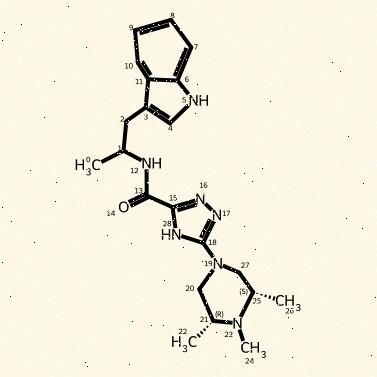 CC(Cc1c[nH]c2ccccc12)NC(=O)c1nnc(N2C[C@@H](C)N(C)[C@@H](C)C2)[nH]1